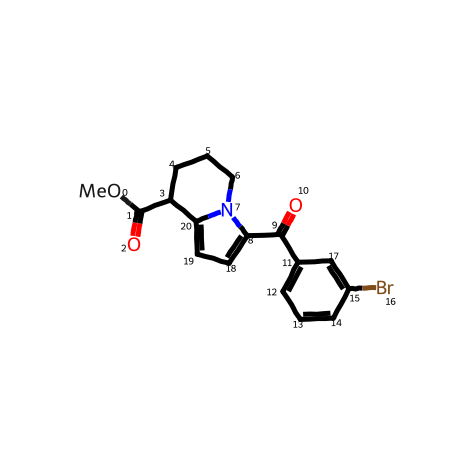 COC(=O)C1CCCn2c(C(=O)c3cccc(Br)c3)ccc21